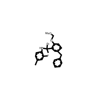 CCC(C)(Pc1ccc(C)cc1F)c1cc(Cc2ccccc2)ccc1OCOC